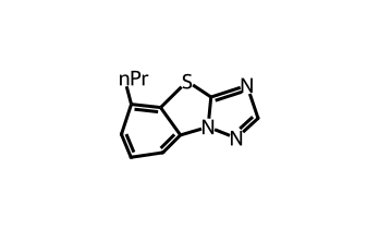 CCCc1cccc2c1sc1ncnn12